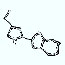 O=Cc1c[nH]c(-c2cc3ccccc3s2)n1